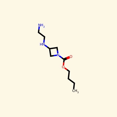 CCCCOC(=O)N1CC(NCCN)C1